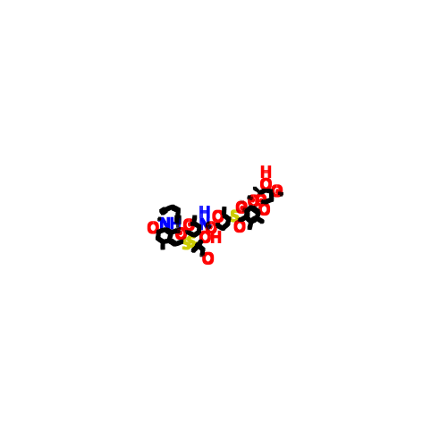 C#C/C=C\C#C[C@H](OC1CC(O)[C@H](NOC2CC[C@H](SC(=O)c3c(C)c(C)c(OC4C[C@H](OC)C(O)[C@H](C)O4)c(OC)c3OC)C(C)O2)C(C)O1)C1=C(NC)C(=O)CC(C)/C1=C/CSSC(C)(C)CC=O